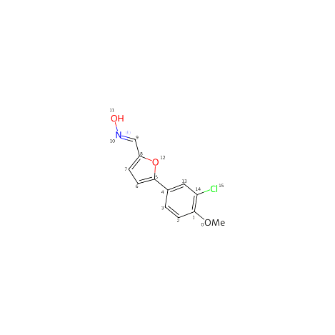 COc1ccc(-c2ccc(/C=N/O)o2)cc1Cl